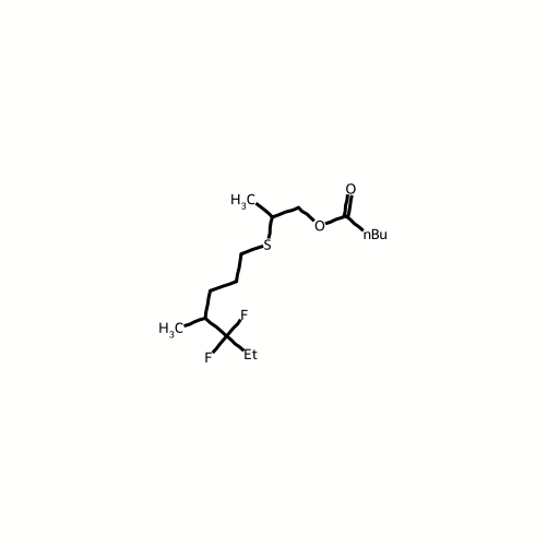 CCCCC(=O)OCC(C)SCCCC(C)C(F)(F)CC